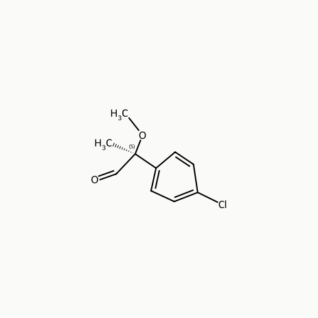 CO[C@](C)(C=O)c1ccc(Cl)cc1